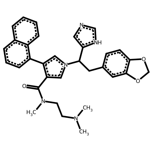 CN(C)CCN(C)C(=O)c1cn(C(Cc2ccc3c(c2)OCO3)c2cnc[nH]2)cc1-c1cccc2ccccc12